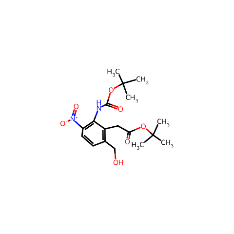 CC(C)(C)OC(=O)Cc1c(CO)ccc([N+](=O)[O-])c1NC(=O)OC(C)(C)C